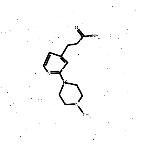 CN1CCN(c2cc([CH]CC(N)=O)ccn2)CC1